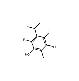 Cc1c(O)c(F)c(C(C)C)c(F)c1Cl